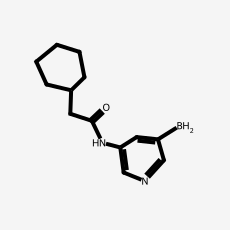 Bc1cncc(NC(=O)CC2CCCCC2)c1